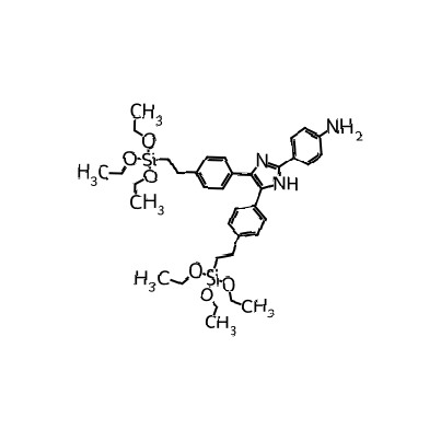 CCO[Si](CCc1ccc(-c2nc(-c3ccc(N)cc3)[nH]c2-c2ccc(CC[Si](OCC)(OCC)OCC)cc2)cc1)(OCC)OCC